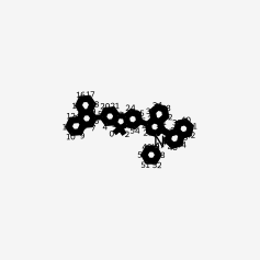 CC1(C)c2cc(-c3cc4ccccc4c4ccccc34)ccc2-c2ccc(-c3cc4c(c5ccccc35)c3c5ccccc5ccc3n4-c3ccccc3)cc21